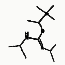 CC(C)/N=C(/NC(C)C)OC(C)[Si](C)(C)C